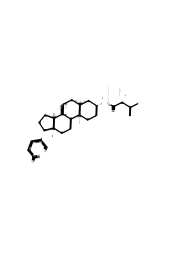 CC(C)[C@@H](N)C(=O)N[C@H]1CC[C@]2(C)C3CC[C@]4(C)[C@@H](c5ccc(=O)oc5)CC[C@]4(O)C3CC[C@@H]2C1